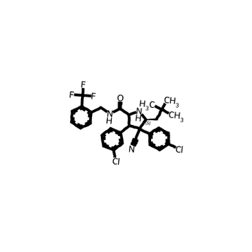 CC(C)(C)C[C@@H]1NC(C(=O)NCc2ccccc2C(F)(F)F)C(c2cccc(Cl)c2)C1(C#N)c1ccc(Cl)cc1